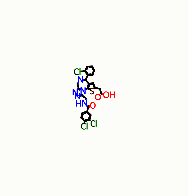 O=C(O)Cc1cc2c(s1)-n1c(nnc1CNC(=O)c1ccc(Cl)c(Cl)c1)CN=C2c1ccccc1Cl